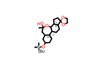 CC1(O)CC2CC(O[Si](C)(C)C(C)(C)C)CC[C@]2(C)C2CC[C@@]3(C)C(CCC34OCCO4)C2O1